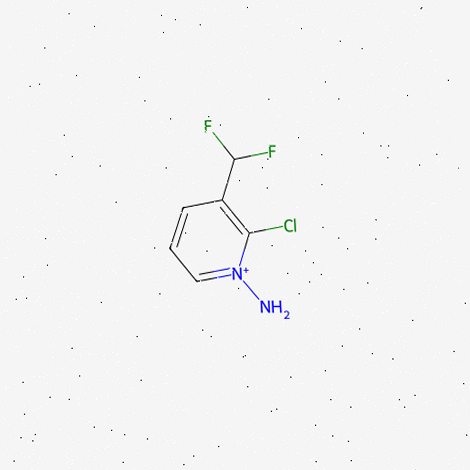 N[n+]1cccc(C(F)F)c1Cl